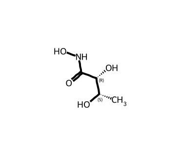 C[C@H](O)[C@@H](O)C(=O)NO